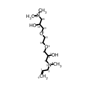 C=CCN(C)CC(O)COCCOCC(O)CN(C)C